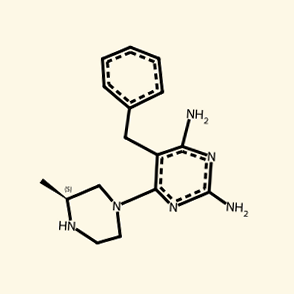 C[C@H]1CN(c2nc(N)nc(N)c2Cc2ccccc2)CCN1